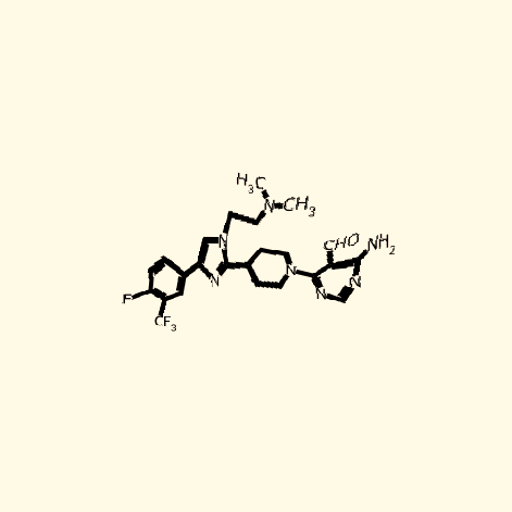 CN(C)CCn1cc(-c2ccc(F)c(C(F)(F)F)c2)nc1C1CCN(c2ncnc(N)c2C=O)CC1